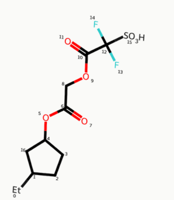 CCC1CCC(OC(=O)COC(=O)C(F)(F)S(=O)(=O)O)C1